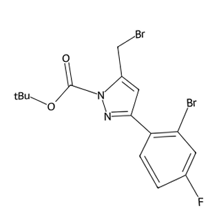 CC(C)(C)OC(=O)n1nc(-c2ccc(F)cc2Br)cc1CBr